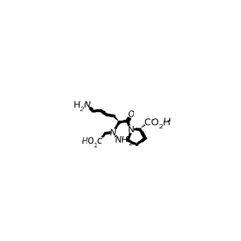 NCCCC[C@@H](C(=O)N1CCC[C@H]1C(=O)O)N(N)CC(=O)O